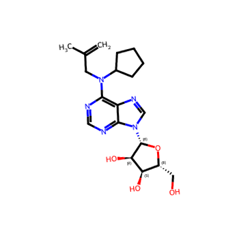 C=C(C)CN(c1ncnc2c1ncn2[C@@H]1O[C@H](CO)[C@@H](O)[C@H]1O)C1CCCC1